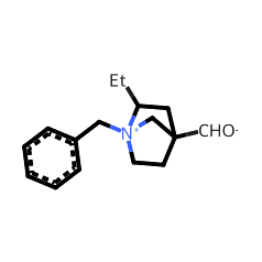 CCC1CC2([C]=O)CC[N+]1(Cc1ccccc1)C2